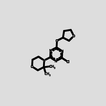 CC1(C)COCCN1c1nc(Cl)nc(OC2CCOC2)n1